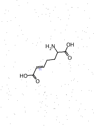 NC(CC/C=C/C(=O)O)C(=O)O